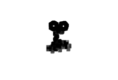 CC[N+](CC)(CCOC(=O)C1(C2CCCCC2)CCCCC1)C(C)C